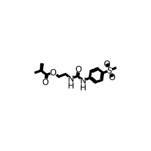 C=C(C)C(=O)OCCNC(=O)Nc1ccc(S(C)(=O)=O)cc1